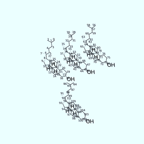 CC(C)CCC[C@@H](C)[C@H]1CC[C@H]2[C@@H]3CC=C4C[C@@H](O)CC[C@]4(C)[C@H]3CC[C@]12C.CC(C)CCC[C@@H](C)[C@H]1CC[C@H]2[C@@H]3CC=C4C[C@@H](O)CC[C@]4(C)[C@H]3CC[C@]12C.CC(C)CCC[C@@H](C)[C@H]1CC[C@H]2[C@@H]3CC=C4C[C@@H](O)CC[C@]4(C)[C@H]3CC[C@]12C.CC(C)CCC[C@@H](C)[C@H]1CC[C@H]2[C@@H]3CC=C4C[C@@H](O)CC[C@]4(C)[C@H]3CC[C@]12C